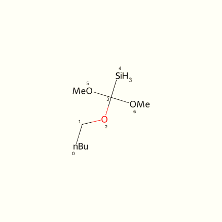 CCCCCOC([SiH3])(OC)OC